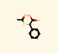 CC(=O)S[C@H](C(=O)O)c1ccccc1